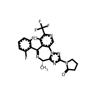 C[C@@H]1N=C(c2c(F)cccc2F)c2c(cnc(C(F)(F)F)c2Cl)-n2nc(N3CCCC3=O)nc21